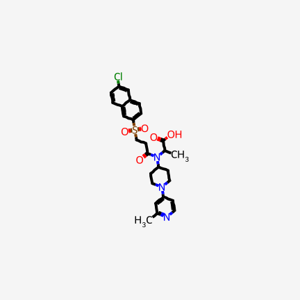 Cc1cc(N2CCC(N(C(=O)CCS(=O)(=O)c3ccc4cc(Cl)ccc4c3)C(C)C(=O)O)CC2)ccn1